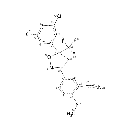 CSc1ccc(C2=NOC(c3cc(Cl)cc(Cl)c3)(C(F)(F)F)C2)cc1C#N